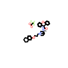 O=C(N[C@@H]1C[N+]2(CCCOc3ccc4c(c3)CCCC4)CCC1CC2)C1c2ccccc2Oc2ccccc21.O=C([O-])C(F)(F)F